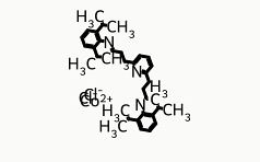 CC(C)c1cccc(C(C)C)c1N=CCCc1cccc(CCC=Nc2c(C(C)C)cccc2C(C)C)n1.[Cl-].[Cl-].[Co+2]